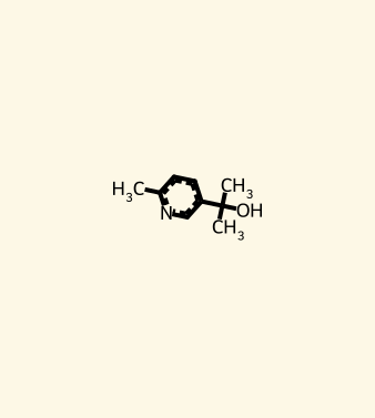 Cc1ccc(C(C)(C)O)cn1